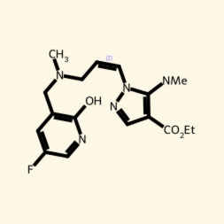 CCOC(=O)c1cnn(/C=C\CN(C)Cc2cc(F)cnc2O)c1NC